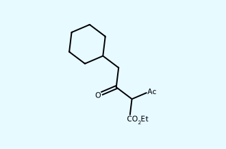 CCOC(=O)C(C(C)=O)C(=O)CC1CCCCC1